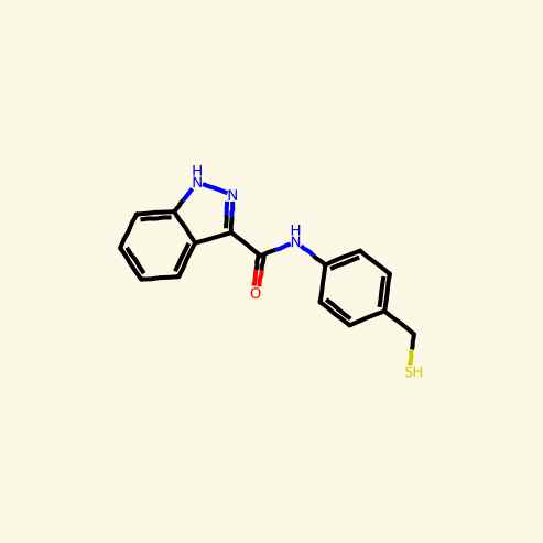 O=C(Nc1ccc(CS)cc1)c1n[nH]c2ccccc12